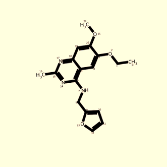 CCOc1cc2c(NCc3ccco3)nc(C)nc2cc1OC